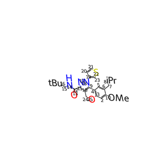 COc1cc2c(cc1CC(C)C)-c1c(c(C(=O)NCC(C)(C)C)nn1-c1ccsc1)CO2